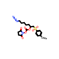 COc1ccc(S(=O)(=O)CC(CCCCCN=[N+]=[N-])OC(=O)ON2C(=O)CCC2=O)cc1